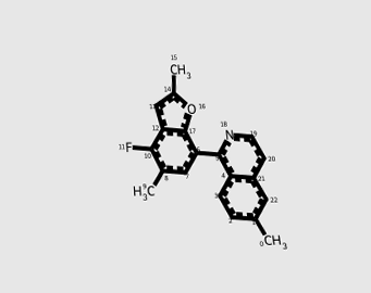 Cc1ccc2c(-c3cc(C)c(F)c4cc(C)oc34)nccc2c1